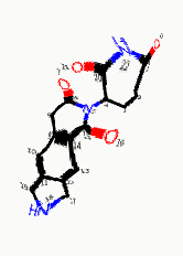 O=C1CCC(N2C(=O)Cc3cc4c(cc3C2=O)CNC4)C(=O)N1